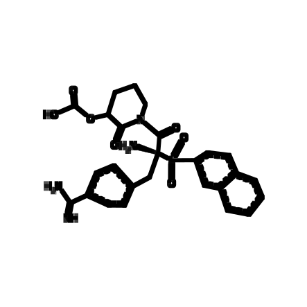 N=C(N)c1ccc(C[C@](N)(C(=O)N2CCCC(OC(=O)O)C2=O)S(=O)(=O)c2ccc3ccccc3c2)cc1